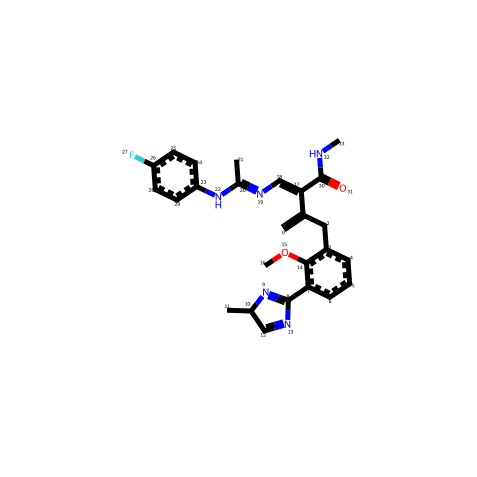 C=C(Cc1cccc(C2=NC(C)C=N2)c1OC)/C(=C\N=C(/C)Nc1ccc(F)cc1)C(=O)NC